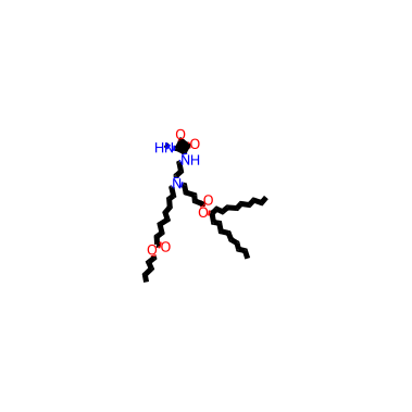 CCCCCCCCCC(CCCCCCCCC)OC(=O)CCCCN(CCCCCCCCCC(=O)OCCCCC)CCCNc1c(NC)c(=O)c1=O